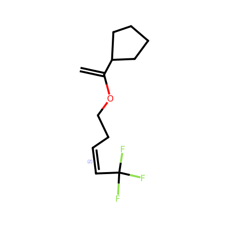 C=C(OCC/C=C\C(F)(F)F)C1CCCC1